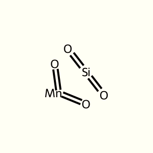 O=[Si]=O.[O]=[Mn]=[O]